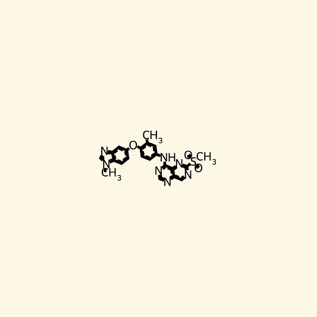 Cc1cc(Nc2ncnc3cnc(S(C)(=O)=O)nc23)ccc1Oc1ccc2c(c1)ncn2C